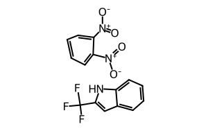 FC(F)(F)c1cc2ccccc2[nH]1.O=[N+]([O-])c1ccccc1[N+](=O)[O-]